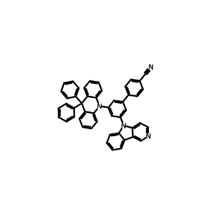 N#Cc1ccc(-c2cc(N3c4ccccc4C(c4ccccc4)(c4ccccc4)c4ccccc43)cc(-n3c4ccccc4c4cnccc43)c2)cc1